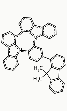 CC1(C)c2ccccc2-c2cccc(-c3ccc4c(c3)n3c5ccccc5c5cccc(c6cccc7c8ccccc8n4c76)c53)c21